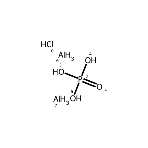 Cl.O=P(O)(O)O.[AlH3].[AlH3]